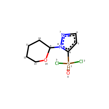 O=[SH](Cl)(Cl)c1ccnn1C1CCCCO1